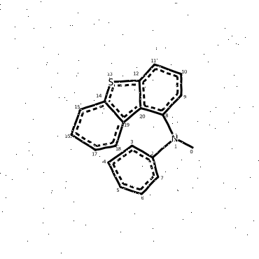 CN(c1ccccc1)c1cccc2sc3ccccc3c12